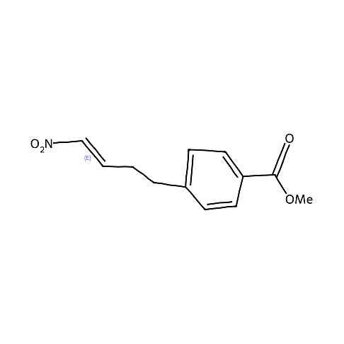 COC(=O)c1ccc(CC/C=C/[N+](=O)[O-])cc1